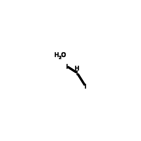 I[IH]I.O